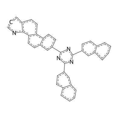 c1ccc2cc(-c3nc(-c4ccc5ccccc5c4)nc(-c4ccc5c(ccc6c5ccc5cccnc56)c4)n3)ccc2c1